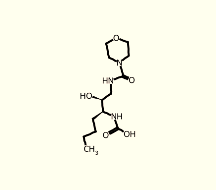 CCCC[C@H](NC(=O)O)[C@@H](O)CNC(=O)N1CCOCC1